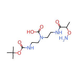 CC(ON)C(=O)NCCN(CCNC(=O)OC(C)(C)C)C(=O)O